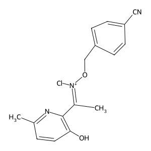 CC(c1nc(C)ccc1O)=[N+](Cl)OCc1ccc(C#N)cc1